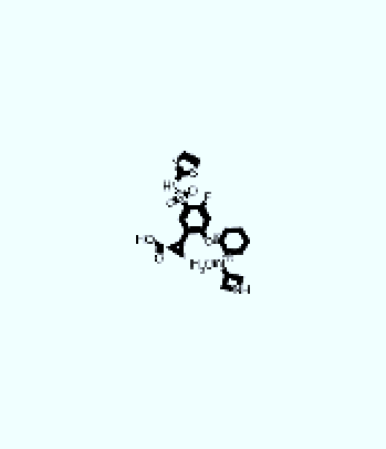 CN(C1CNC1)[C@H]1CCCC[C@@H]1Oc1cc(F)c(S(=O)(=O)Nc2nccs2)cc1C1CC1.O=CO